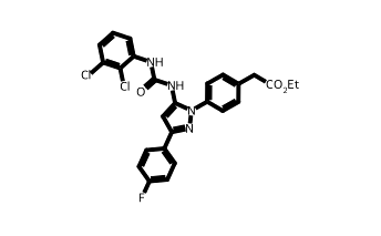 CCOC(=O)Cc1ccc(-n2nc(-c3ccc(F)cc3)cc2NC(=O)Nc2cccc(Cl)c2Cl)cc1